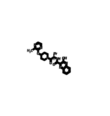 Cc1nccnc1OC1CCN(C(=O)[C@@H](NC(=O)c2nc3ccccc3nc2O)C(C)C)CC1